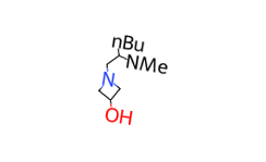 CCCCC(CN1CC(O)C1)NC